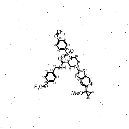 COC1(c2ncc3sc(N4CCN(S(=O)(=O)c5ccc(OC(F)(F)F)cc5)[C@@H](C(=O)NCc5ccc(OC(F)(F)F)cc5)C4)nc3n2)CC1